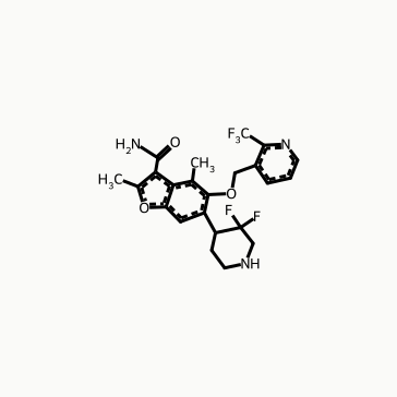 Cc1oc2cc(C3CCNCC3(F)F)c(OCc3cccnc3C(F)(F)F)c(C)c2c1C(N)=O